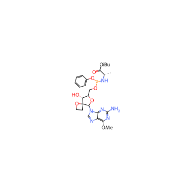 COc1nc(N)nc2c1ncn2C1OC(COP(N[C@@H](C)C(=O)OCC(C)C)Oc2ccccc2)[C@@H](O)[C@]12CCO2